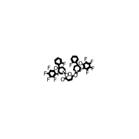 O=C(/C=C\C(=O)ON1CCC(Oc2c(F)c(F)c(F)c(F)c2F)(c2ccccc2F)CC1)ON1CCC(Oc2c(F)c(F)c(F)c(F)c2F)(c2ccccc2F)CC1